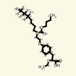 CCCCOC(=O)N(CCCCC(F)(F)C(F)(F)C(F)(F)F)CCOc1ccc(CC(OCC)C(=O)O)cc1